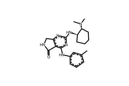 Cc1cccc(Nc2nc(N[C@@H]3CCCC[C@@H]3N(C)C)nc3c2C(=O)NC3)c1